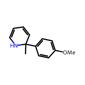 COc1ccc(C2(C)C=CC=CN2)cc1